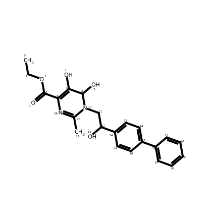 CCOC(=O)C1=C(O)C(O)N(CC(O)c2ccc(-c3ccccc3)cc2)C(C)=N1